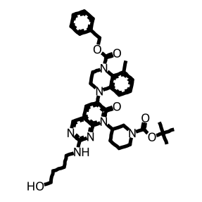 Cc1cccc2c1N(C(=O)OCc1ccccc1)CCN2c1cc2cnc(NCCCCO)nc2n(C2CCCN(C(=O)OC(C)(C)C)C2)c1=O